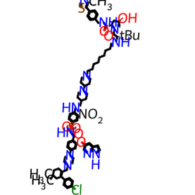 Cc1ncsc1-c1ccc(CNC(=O)[C@@H]2C[C@@H](O)CN2C(=O)[C@@H](NCCCCCCCCCN2CCC(N3CCC(CNc4ccc(S(=O)(=O)NC(=O)c5ccc(N6CCN(CC7=C(c8ccc(Cl)cc8)CC(C)(C)CC7)CC6)cc5Oc5cnc6[nH]ccc6c5)cc4[N+](=O)[O-])CC3)CC2)C(C)(C)C)cc1